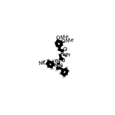 COc1ccc(CC(=O)N(CC(=O)Nc2nc(-c3ccccc3)cn2-c2ccc(C#N)cc2)C(C)C)cc1OC